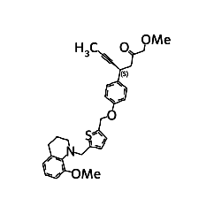 CC#C[C@@H](CC(=O)COC)c1ccc(OCc2ccc(CN3CCCc4cccc(OC)c43)s2)cc1